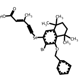 C/C(C#C[Se]c1cc2c(c(OCc3ccccc3)c1Br)C(C)(C)CCC2(C)C)=C\C(=O)O